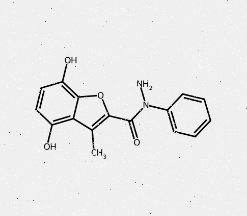 Cc1c(C(=O)N(N)c2ccccc2)oc2c(O)ccc(O)c12